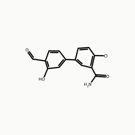 NC(=O)c1cc(-c2ccc(C=O)c(O)c2)ccc1Cl